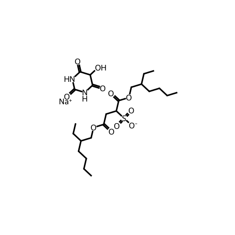 CCCCC(CC)COC(=O)CC(C(=O)OCC(CC)CCCC)S(=O)(=O)[O-].O=C1NC(=O)C(O)C(=O)N1.[Na+]